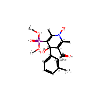 CCOP(=O)(OCC)C1=C(C)N(O)C(C)=C(C(=O)OC)C1(O)c1cccc([N+](=O)[O-])c1